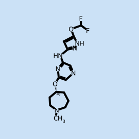 CN1CCC[C@@H](Oc2cncc(Nc3cc(OC(F)F)[nH]n3)n2)CC1